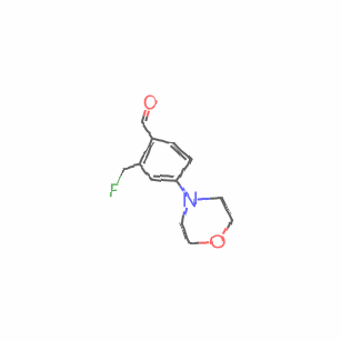 O=Cc1ccc(N2CCOCC2)cc1CF